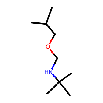 CC(C)COCNC(C)(C)C